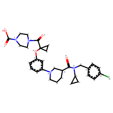 O=C(O)N1CCN(C(=O)C2(Oc3cccc(N4CCCC(C(=O)N(Cc5ccc(Br)cc5)C5CC5)C4)c3)CC2)CC1